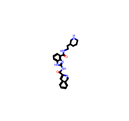 O=C(Nc1nc2c(C(=O)NCCC3CCCNC3)cccc2[nH]1)c1cc2ccccc2cn1